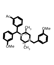 COc1cccc(CN2C[C@H](C)N(C(c3cccc(OC)c3)c3cccc(C(C)=O)c3)C[C@H]2C)c1